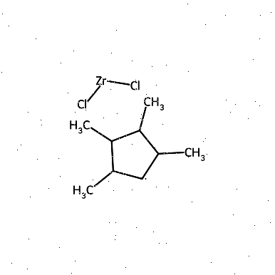 CC1[CH]C(C)C(C)C1C.[Cl][Zr][Cl]